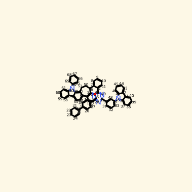 C1=CC2=C(CC1)C(c1ccccc1-c1nc(-c3ccc(-c4ccccc4)cc3)nc(-c3cccc(-n4c5ccccc5c5ccccc54)c3)n1)CCc1c2ccc2c3ccccc3n(-c3ccccc3)c12